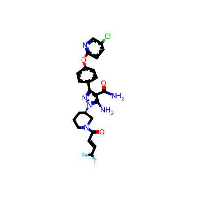 NC(=O)c1c(-c2ccc(Oc3ccc(Cl)cn3)cc2)nn([C@@H]2CCCN(C(=O)C=CC(F)F)C2)c1N